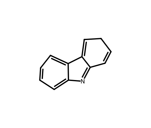 C1=CC2=Nc3ccccc3C2=CC1